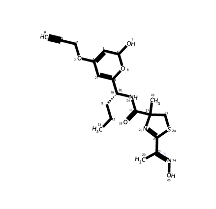 C#CCOC1=CC(O)OC([C@@H](CCC)NC(=O)C2(C)CSC(/C(C)=N/O)=N2)=C1